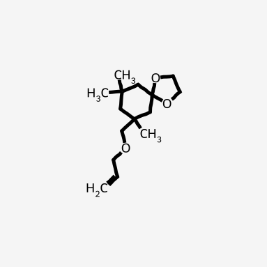 C=CCOCC1(C)CC(C)(C)CC2(C1)OCCO2